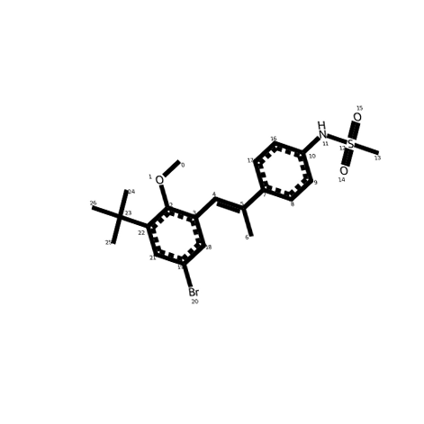 COc1c(/C=C(\C)c2ccc(NS(C)(=O)=O)cc2)cc(Br)cc1C(C)(C)C